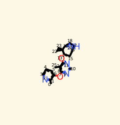 Cc1ncccc1Oc1ncnc(OC2CC3CCC(N3)C23CC3)c1C